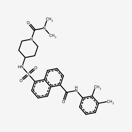 Cc1cccc(NC(=O)c2cccc3c(S(=O)(=O)NC4CCN(C(=O)N(C)C)CC4)cccc23)c1C